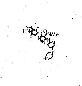 CNC(=O)c1c(Nc2ccc(CN3CCNCC3)cn2)ncnc1Oc1cc(F)c2[nH]c(C)cc2c1F